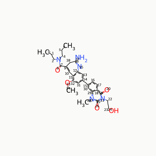 CCCN(CCC)C(=O)C1=Cc2c(cc(-c3ccc4c(=O)n(CCO)c(=O)n(C)c4c3)cc2OC)N=C(N)C1